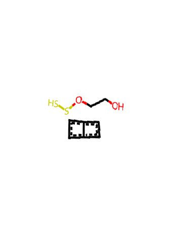 OCCOSS.c1cc2ccc1-2